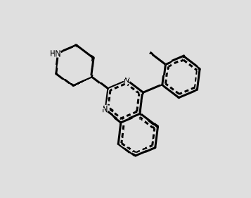 Cc1ccccc1-c1nc(C2CCNCC2)nc2ccccc12